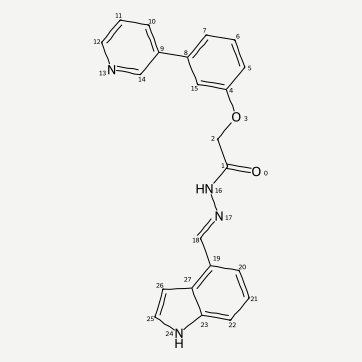 O=C(COc1cccc(-c2cccnc2)c1)N/N=C/c1cccc2[nH]ccc12